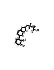 CC(C)(CC1Cc2ccc(-c3cccc(Br)c3Cl)cc2C1)NC(=O)O